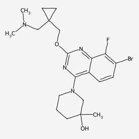 CN(C)CC1(COc2nc(N3CCCC(C)(O)C3)c3ccc(Br)c(F)c3n2)CC1